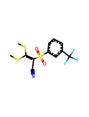 CSC(SC)=C(C#N)S(=O)(=O)c1cccc(C(F)(F)F)c1